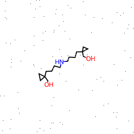 OCC1(CCCCNCCCCC2(CO)CC2)CC1